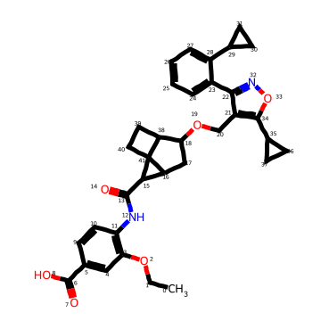 CCOc1cc(C(=O)O)ccc1NC(=O)C1C2CC(OCc3c(-c4ccccc4C4CC4)noc3C3CC3)C3CCC321